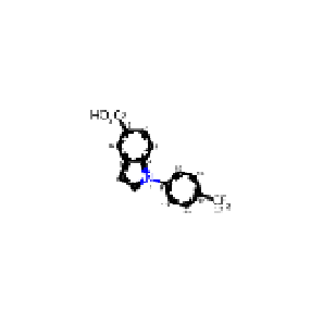 O=C(O)c1ccc2c(ccn2-c2ccc(C(F)(F)F)cc2)c1